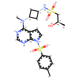 Cc1ccc(S(=O)(=O)n2ccc3c(N(C)[C@H]4C[C@@H](NS(=O)(=O)C[C@@H](C)O)C4)ncnc32)cc1